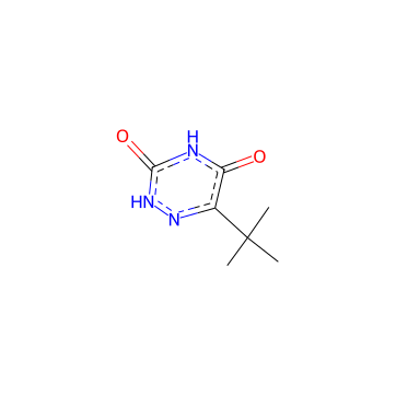 CC(C)(C)c1n[nH]c(=O)[nH]c1=O